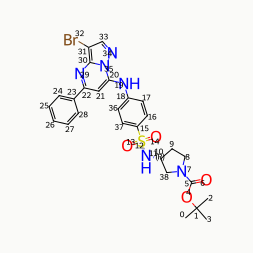 CC(C)(C)OC(=O)N1CC[C@@H](NS(=O)(=O)c2ccc(Nc3cc(-c4ccccc4)nc4c(Br)cnn34)cc2)C1